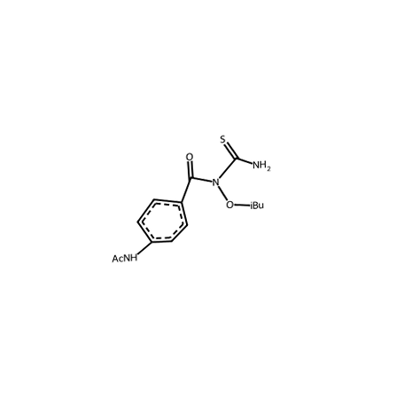 CCC(C)ON(C(=O)c1ccc(NC(C)=O)cc1)C(N)=S